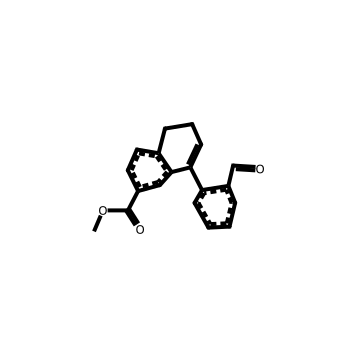 COC(=O)c1ccc2c(c1)C(c1ccccc1C=O)=CCC2